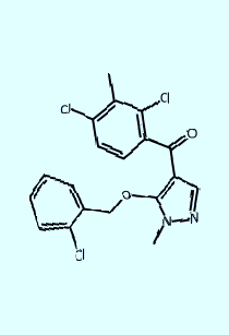 Cc1c(Cl)ccc(C(=O)c2cnn(C)c2OCc2ccccc2Cl)c1Cl